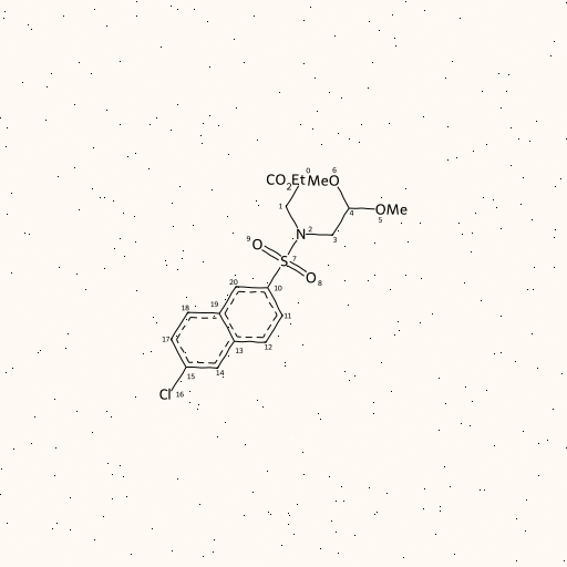 CCOC(=O)CN(CC(OC)OC)S(=O)(=O)c1ccc2cc(Cl)ccc2c1